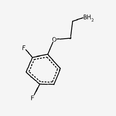 BCCOc1ccc(F)cc1F